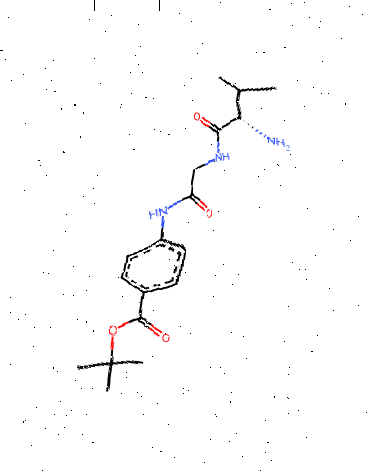 CC(C)[C@H](N)C(=O)NCC(=O)Nc1ccc(C(=O)OC(C)(C)C)cc1